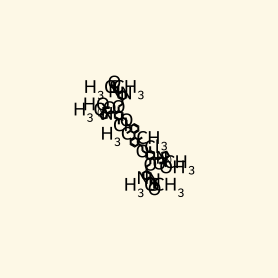 Cc1c(COc2cc(OCc3cncc(N=S(C)(C)=O)c3)c(CN3CCC[C@@]3(C)C(=O)O)cc2Cl)cccc1-c1cccc(COc2cc(OCc3cncc(N=S(C)(C)=O)c3)c(CN3CCC[C@@]3(C)C(=O)O)cc2Cl)c1C